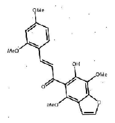 COc1ccc(C=CC(=O)c2c(O)c(OC)c3occc3c2OC)c(OC)c1